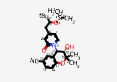 C[SiH](C)OC(Cc1ccn([C@@H]2c3cc(C#N)ccc3OC(C)(C)[C@H]2O)c(=O)c1)C(C)(C)C